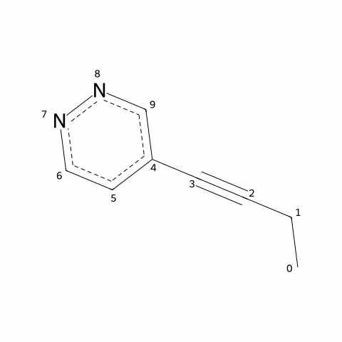 CCC#Cc1ccnnc1